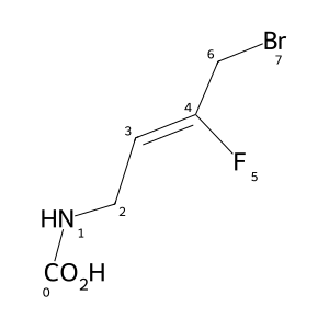 O=C(O)NCC=C(F)CBr